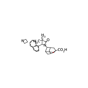 C1C[N]C1.CC1(C)C(=O)N(C2C3CC4CC2CC(C(=O)O)(C4)C3)C1c1cccc2ccccc12